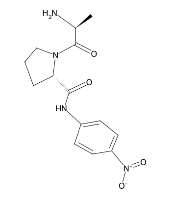 C[C@H](N)C(=O)N1CCC[C@H]1C(=O)Nc1ccc([N+](=O)[O-])cc1